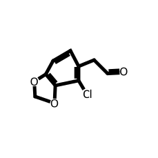 O=CCc1ccc2c(c1Cl)OCO2